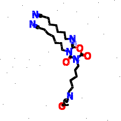 N#CCCCCCC/N=c1/oc(=O)n(CCCCCCN=C=O)c(=O)n1CCCCCCC#N